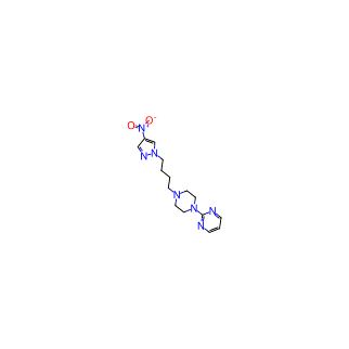 O=[N+]([O-])c1cnn(CCCCN2CCN(c3ncccn3)CC2)c1